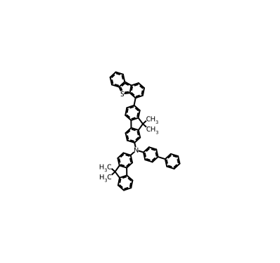 CC1(C)c2ccccc2-c2cc(N(c3ccc(-c4ccccc4)cc3)c3ccc4c(c3)C(C)(C)c3cc(-c5cccc6c5sc5ccccc56)ccc3-4)ccc21